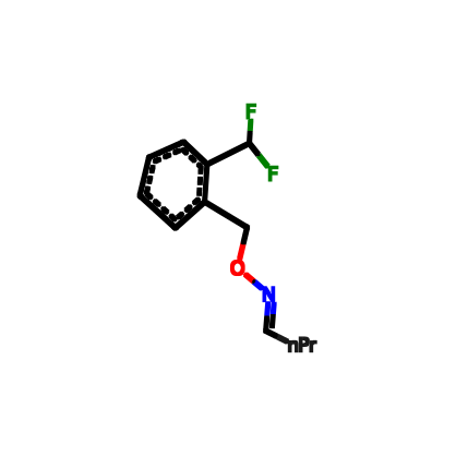 CCCC=NOCc1ccccc1C(F)F